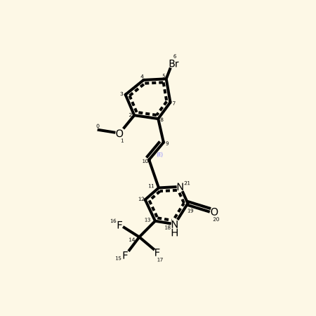 COc1ccc(Br)cc1/C=C/c1cc(C(F)(F)F)[nH]c(=O)n1